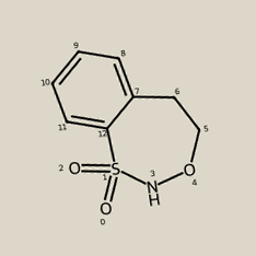 O=S1(=O)NOCCc2ccccc21